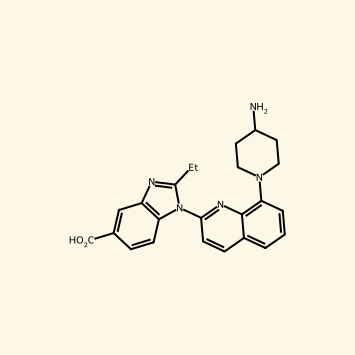 CCc1nc2cc(C(=O)O)ccc2n1-c1ccc2cccc(N3CCC(N)CC3)c2n1